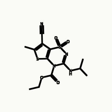 CCOC(=O)N1C(NC(C)C)=NS(=O)(=O)c2c1sc(C)c2C#N